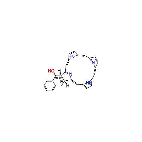 O[C@@H]1c2ccccc2C[C@H]2c3cc4ccc(cc5nc(cc6ccc(cc(n3)[C@@H]12)[nH]6)C=C5)[nH]4